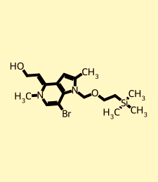 Cc1cc2c(n1COCC[Si](C)(C)C)C(Br)=CN(C)/C2=C\CO